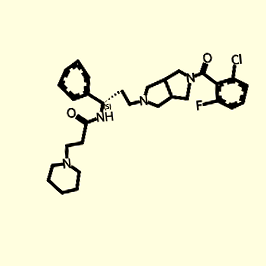 O=C(CCN1CCCCC1)N[C@@H](CCN1CC2CN(C(=O)c3c(F)cccc3Cl)CC2C1)c1ccccc1